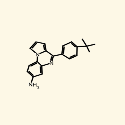 CC(C)(C)c1ccc(-c2nc3cc(N)ccc3n3cccc23)cc1